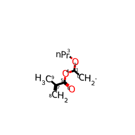 [CH2]C(OCCC)OC(=O)C(=C)C